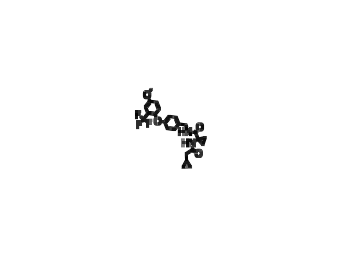 COc1ccc(Oc2ccc(CNC(=O)C3(NC(=O)CC4CC4)CC3)cc2)c(C(F)(F)F)c1